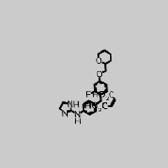 Fc1cc(OCC2CCCCO2)ccc1Cc1ccc(NC2=NCCN2)cc1.O=C(O)/C=C\C(=O)O